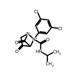 CC(C)NC(=O)[N+]1(c2cc(Cl)cc(Cl)c2)C2C(=O)CN1C2=O